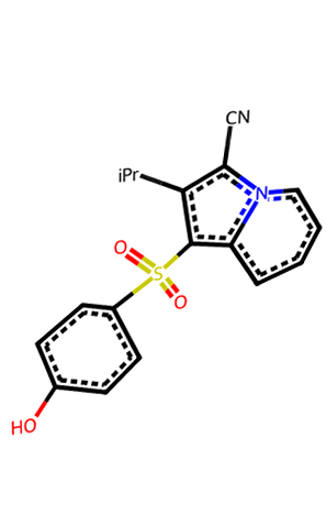 CC(C)c1c(S(=O)(=O)c2ccc(O)cc2)c2ccccn2c1C#N